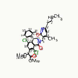 CBCCc1cc(C)c(CN2CCc3c(Cl)cc(C(OC)C(=O)OC)c(Cl)c3C2=O)c(OCc2ccccc2)n1